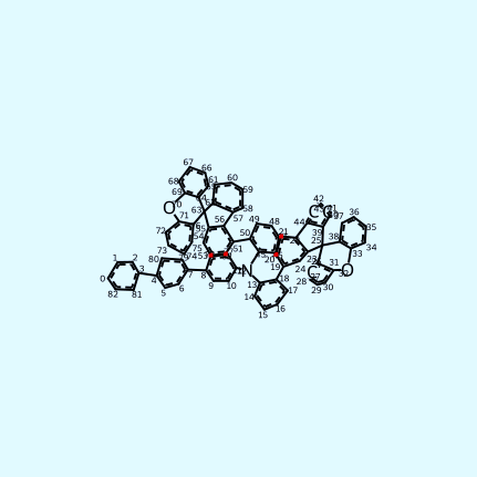 c1ccc(-c2ccc(-c3ccc(N(c4ccccc4-c4ccc5c(c4)C4(c6ccccc6Oc6ccccc64)c4ccccc4-5)c4ccccc4-c4cccc5c4-c4ccccc4C54c5ccccc5Oc5ccccc54)cc3)cc2)cc1